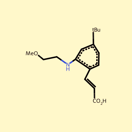 COCCNc1cc(C(C)(C)C)ccc1C=CC(=O)O